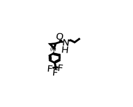 CCCNC(=O)C1C[C@H]1c1ccc(C(F)(F)F)cc1